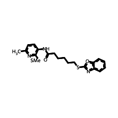 CSc1nc(C)ccc1NC(=O)CCCCCSc1nc2ccccc2o1